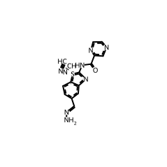 C#N.C#N.NN=Cc1ccc2sc(NC(=O)c3cnccn3)nc2c1